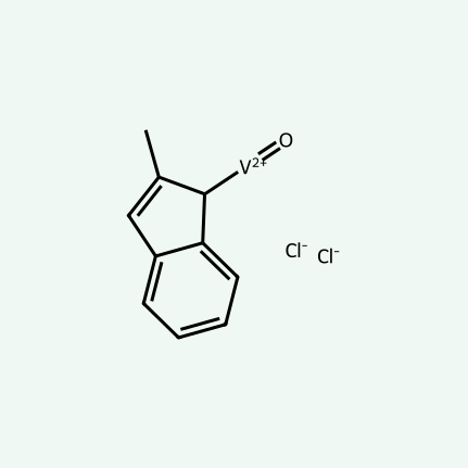 CC1=Cc2ccccc2[CH]1[V+2]=[O].[Cl-].[Cl-]